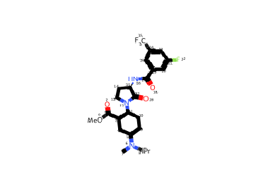 COC(=O)C1CC(N(C)C(C)C)CCC1N1CC[C@H](NC(=O)c2cc(F)cc(C(F)(F)F)c2)C1=O